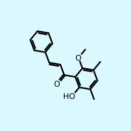 COc1c(C)cc(C)c(O)c1C(=O)/C=C/c1ccccc1